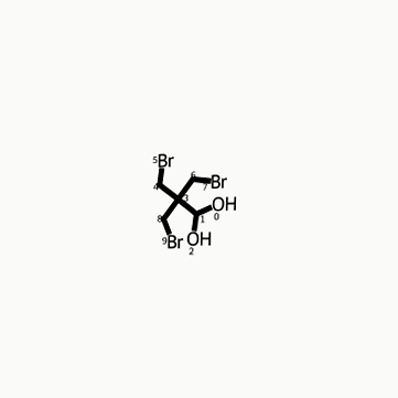 OC(O)C(CBr)(CBr)CBr